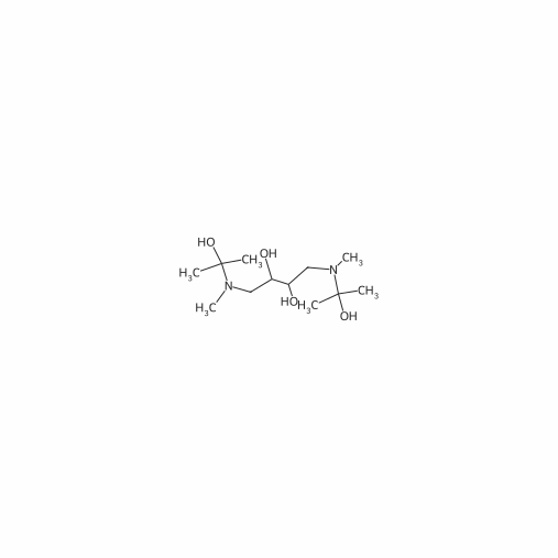 CN(CC(O)C(O)CN(C)C(C)(C)O)C(C)(C)O